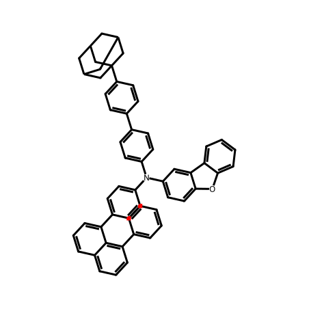 c1ccc(-c2cccc3cccc(-c4ccc(N(c5ccc(-c6ccc(C78CC9CC(CC(C9)C7)C8)cc6)cc5)c5ccc6oc7ccccc7c6c5)cc4)c23)cc1